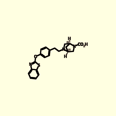 O=C(O)N1C[C@@H]2C[C@H]1CN2CCc1ccc(Oc2nc3ccccc3s2)cc1